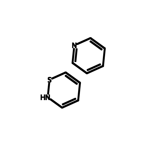 C1=CNSC=C1.c1ccncc1